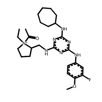 CC[N+]1(C(C)=O)CCCC1CNc1nc(Nc2ccc(OC)c(F)c2)nc(NC2CCCCCC2)n1